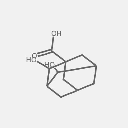 O=C(O)C12CC3CC(C1)C(O)C(C3)C2O